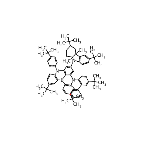 CC(C)(C)c1ccc(N2c3ccc(C(C)(C)C)cc3B3c4ccc(C(C)(C)C)cc4N(c4ccc(C(C)(C)C)cc4-c4ccccc4)c4cc(N5c6ccc(C(C)(C)C)cc6C6(C)CC(C(C)(C)C)CCC56C)cc2c43)cc1